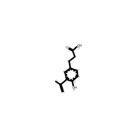 C=C(C)c1cc(CCC(=O)O)ccc1O